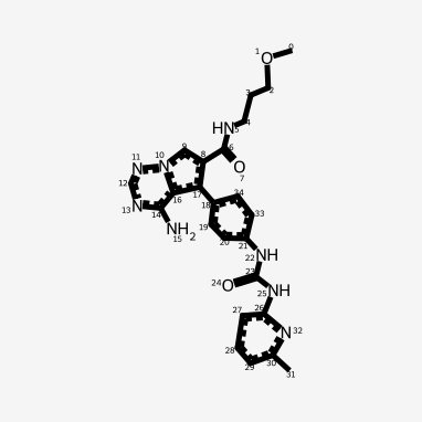 COCCCNC(=O)c1cn2ncnc(N)c2c1-c1ccc(NC(=O)Nc2cccc(C)n2)cc1